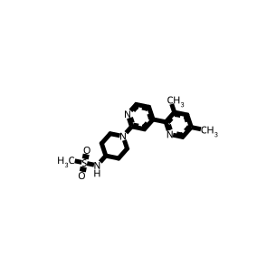 Cc1cnc(-c2ccnc(N3CCC(NS(C)(=O)=O)CC3)c2)c(C)c1